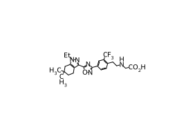 CCn1nc(-c2nc(-c3ccc(CCNCC(=O)O)c(C(F)(F)F)c3)no2)c2c1CC(C)(C)CC2